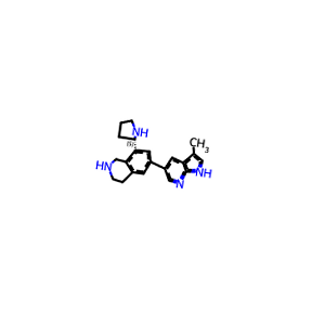 Cc1c[nH]c2ncc(-c3cc4c(c([C@@H]5CCCN5)c3)CNCC4)cc12